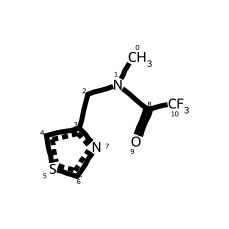 CN(Cc1cs[c]n1)C(=O)C(F)(F)F